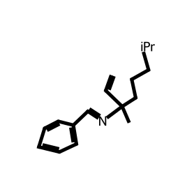 C=CC(C)(CCCC(C)C)N=Cc1ccccc1